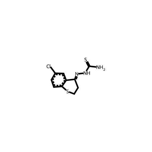 NC(=S)NN=C1CCSc2ccc(Cl)cc21